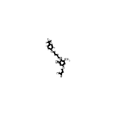 Cc1cc(OCC=C(F)Cl)cc(Cl)c1OCCCCOc1ccc(C(F)(F)F)cc1